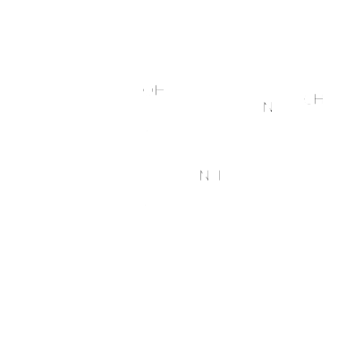 CN1CCC(C2(O)c3ccccc3CCc3c2[nH]c2ccccc32)CC1